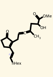 CCCCCC/C=C/C1=C(CC=C=C(C)CC(O)C(=O)OC)C(=O)CC1